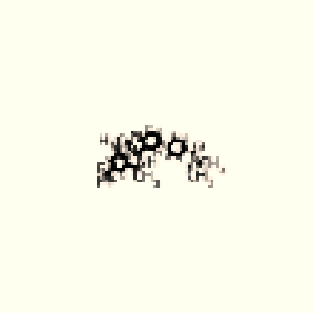 CCN(C)C(=O)[C@H]1CC[C@H](c2ccc3nc(C)nc(N[C@H](C)c4cc(N)cc(C(F)(F)F)c4)c3c2)CC1